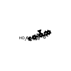 C[C@@H]1c2ccccc2CCN1C(=O)c1cc(C2CC2)c2nc(-c3ccc(N4CC[C@H](C(=O)O)C4)cc3F)n(C)c2c1